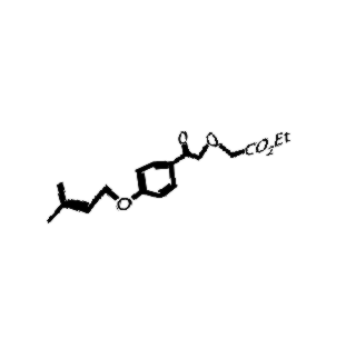 CCOC(=O)COCC(=O)c1ccc(OCC=C(C)C)cc1